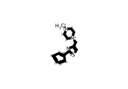 CN1CCN(Cc2csc(-c3ccccc3)n2)CC1